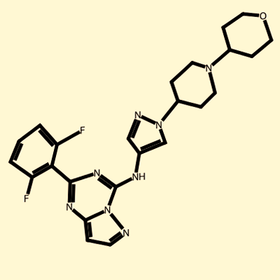 Fc1cccc(F)c1-c1nc(Nc2cnn(C3CCN(C4CCOCC4)CC3)c2)n2nccc2n1